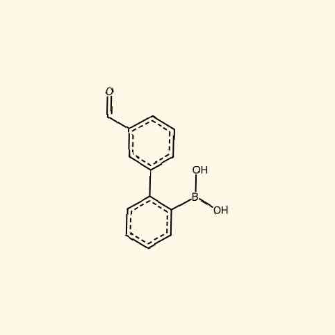 O=Cc1cccc(-c2ccccc2B(O)O)c1